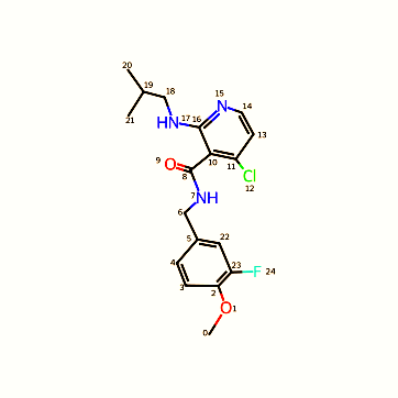 COc1ccc(CNC(=O)c2c(Cl)ccnc2NCC(C)C)cc1F